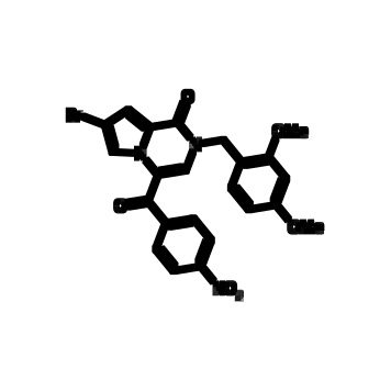 COc1ccc(Cn2cc(C(=O)c3ccc([N+](=O)[O-])cc3)n3cc(Br)cc3c2=O)c(OC)c1